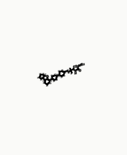 CC(C)(C)OC(=O)NC(C(=O)O)C(C)(C)SCc1ccc(-c2ccc(-c3cccc4c3oc3ccccc34)cc2)cc1